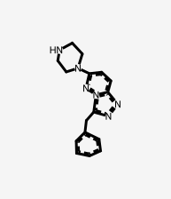 c1ccc(Cc2nnc3ccc(N4CCNCC4)nn23)cc1